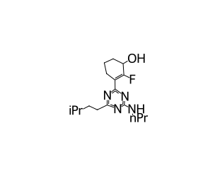 CCCNc1nc(CCC(C)C)nc(C2=C(F)C(O)CCC2)n1